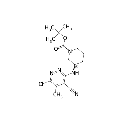 Cc1c(Cl)nnc(N[C@@H]2CCCN(C(=O)OC(C)(C)C)C2)c1C#N